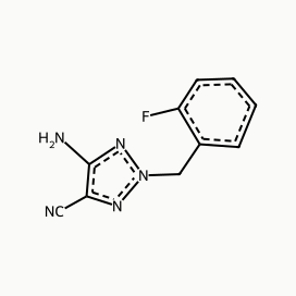 N#Cc1nn(Cc2ccccc2F)nc1N